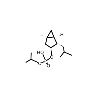 CC(C)C[C@@H]1[C@@H](OP(=O)(O)OC(C)C)C[C@@]2(C)C[C@@H]12